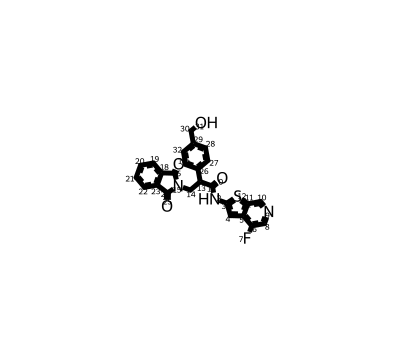 O=C(Nc1cc2c(F)cncc2s1)C(CN1C(=O)c2ccccc2C1=O)c1ccc(CO)cc1